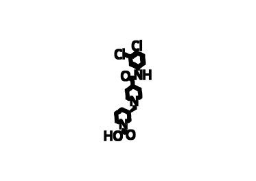 O=C(Nc1ccc(Cl)c(Cl)c1)C1CCN(C[C@@H]2CCCN(C(=O)O)C2)CC1